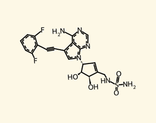 Nc1ncnc2c1c(C#Cc1c(F)cccc1F)cn2[C@@H]1C=C(CNS(N)(=O)=O)[C@@H](O)[C@H]1O